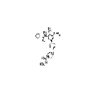 CCN(C(=O)C1CCCC1)c1cc(-c2ccc(CN3CCN(C(=O)OC(C)(C)C)CC3)cc2)cc(C)c1C